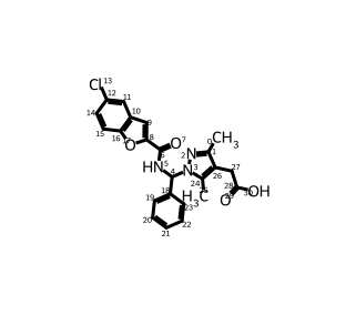 Cc1nn(C(NC(=O)c2cc3cc(Cl)ccc3o2)c2ccccc2)c(C)c1CC(=O)O